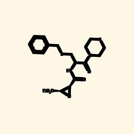 CCOC(=O)[C@H]1O[C@@H]1C(=O)NC(CSCc1ccccc1)C(=O)N1CCSCC1